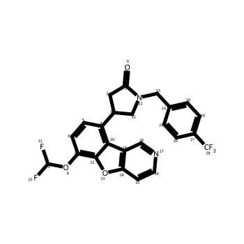 O=C1CC(c2ccc(OC(F)F)c3oc4ccncc4c23)CN1Cc1ccc(C(F)(F)F)cc1